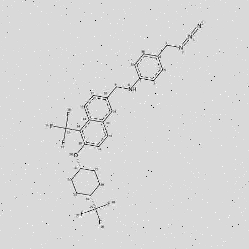 [N-]=[N+]=NCc1ccc(NCc2ccc3c(C(F)(F)F)c(O[C@H]4CC[C@@H](C(F)(F)F)CC4)ccc3c2)cc1